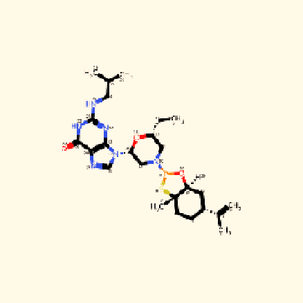 C=C(C)[C@@H]1CC[C@]2(C)S[P@@](N3C[C@@H](CC)O[C@@H](n4cnc5c(=O)[nH]c(NCC(C)C)nc54)C3)O[C@H]2C1